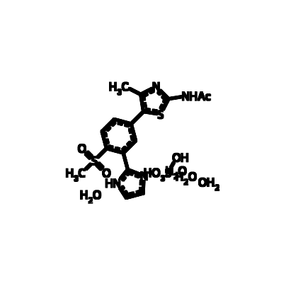 CC(=O)Nc1nc(C)c(-c2ccc(S(C)(=O)=O)c(-c3ncc[nH]3)c2)s1.O.O.O.O.O=S(=O)(O)O